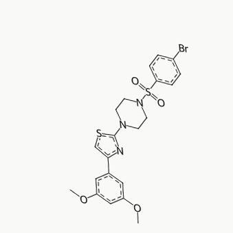 COc1cc(OC)cc(-c2csc(N3CCN(S(=O)(=O)c4ccc(Br)cc4)CC3)n2)c1